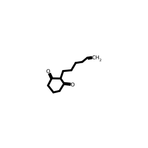 C=CCCCCC1C(=O)CCCC1=O